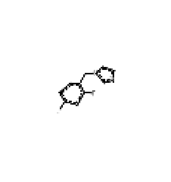 Fc1ccc(Cn2ccnc2)c(F)c1